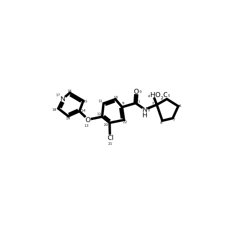 O=C(NC1(C(=O)O)CCCC1)c1ccc(Oc2ccncc2)c(Cl)c1